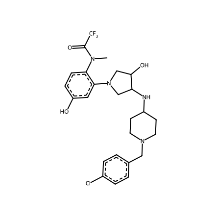 CN(C(=O)C(F)(F)F)c1ccc(O)cc1N1CC(O)C(NC2CCN(Cc3ccc(Cl)cc3)CC2)C1